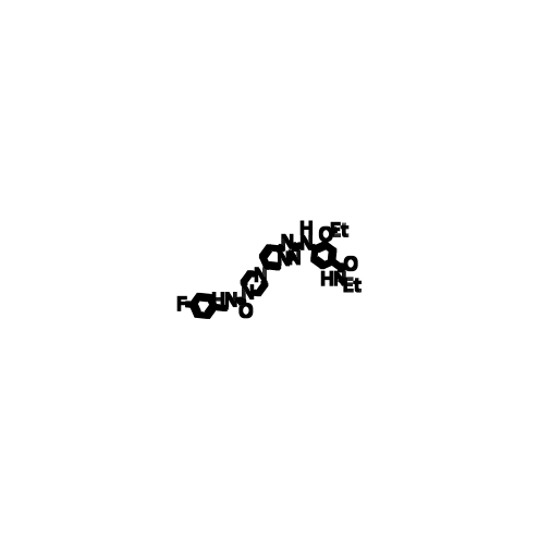 CCNC(=O)c1ccc(Nc2nc3ccc(N4CCN(C(=O)NCc5ccc(F)cc5)CC4)cn3n2)c(OCC)c1